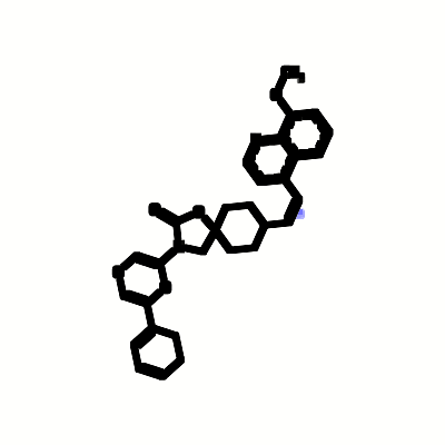 COc1cccc2c(/C=C\C3CCC4(CC3)CN(C3=COC=C(C5=CC=CCC5)O3)C(=O)O4)ccnc12